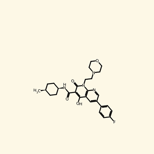 C[C@H]1CC[C@@H](NC(=O)c2c(O)c3cc(-c4ccc(F)cc4)cnc3n(CCN3CCOCC3)c2=O)CC1